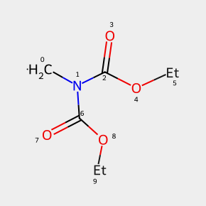 [CH2]N(C(=O)OCC)C(=O)OCC